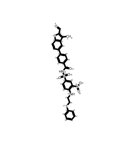 Cc1c(C=O)sc2ccc(-c3ccc(C(=O)NS(=O)(=O)c4ccc(NCCSc5ccccc5)c([N+](=O)[O-])c4)cc3)cc12